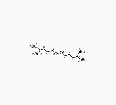 CCCCC(CCCC)CCCOOCCCC(CCCC)CCCC